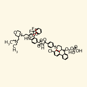 CCN(CC)CC1COCCN1CCC(CSc1ccccc1)Nc1ccc(S(=O)(=O)NC(=O)c2ccc(N3CCC([C@@H](OCOP(=O)(O)O)c4ccccc4-c4ccc(Cl)cc4)CC3)cc2)cc1S(=O)(=O)C(F)(F)F